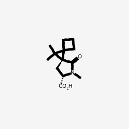 CN1C(=O)[C@]2(C[C@H]1C(=O)O)C(C)(C)C21CCC1